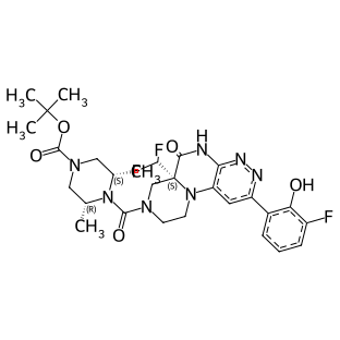 C[C@@H]1CN(C(=O)OC(C)(C)C)C[C@H](C)N1C(=O)N1CCN2c3cc(-c4cccc(F)c4O)nnc3NC(=O)[C@]2(C(F)F)C1